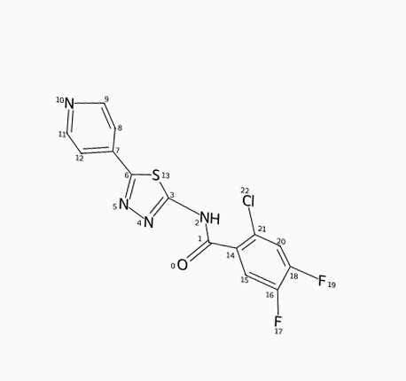 O=C(Nc1nnc(-c2ccncc2)s1)c1cc(F)c(F)cc1Cl